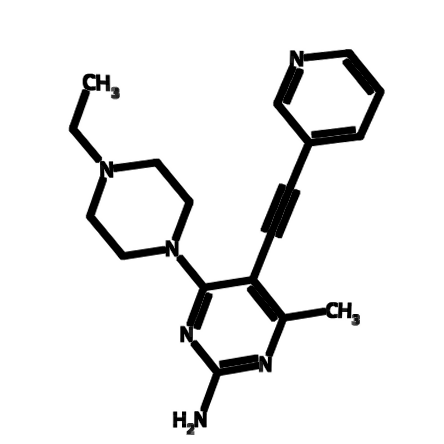 CCN1CCN(c2nc(N)nc(C)c2C#Cc2cccnc2)CC1